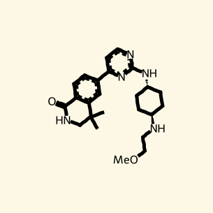 COCCN[C@H]1CC[C@H](Nc2nccc(-c3ccc4c(c3)C(C)(C)CNC4=O)n2)CC1